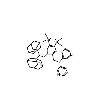 C[Si](C)(C)c1cc(CP(c2cnccn2)c2cnccn2)c(CP(C23CC4CC(CC(C4)C2)C3)C23CC4CC(CC(C4)C2)C3)cc1[Si](C)(C)C